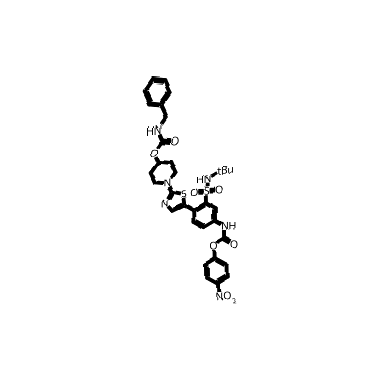 CC(C)(C)NS(=O)(=O)c1cc(NC(=O)Oc2ccc([N+](=O)[O-])cc2)ccc1-c1cnc(N2CCC(OC(=O)NCc3ccccc3)CC2)s1